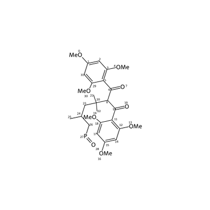 COc1cc(OC)c(C(=O)C(C(=O)c2c(OC)cc(OC)cc2OC)C(C)(C)CC(C)CP=O)c(OC)c1